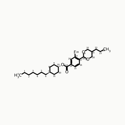 CCCCCCC[C@H]1CC[C@H](OC(=O)c2ccc(C3OCC(CCC)CO3)c(F)c2)CC1